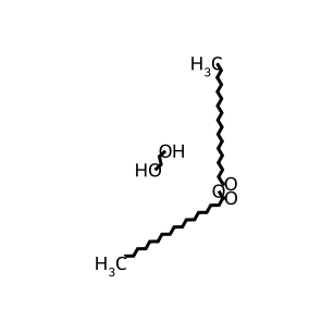 CCCCCCCCCCCCCCCCCC(=O)OC(=O)CCCCCCCCCCCCCCCCC.OCCO